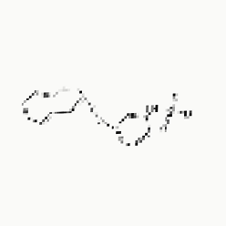 CCS(=O)(=O)Nc1cccc(OCc2ccc3ccccc3c2)c1